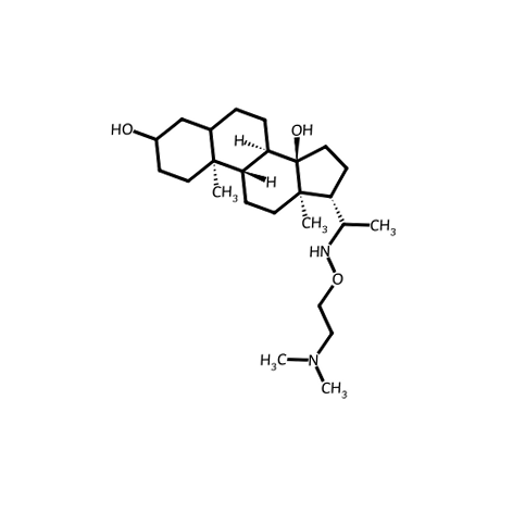 CC(NOCCN(C)C)[C@H]1CC[C@@]2(O)[C@@H]3CCC4CC(O)CC[C@]4(C)[C@H]3CC[C@]12C